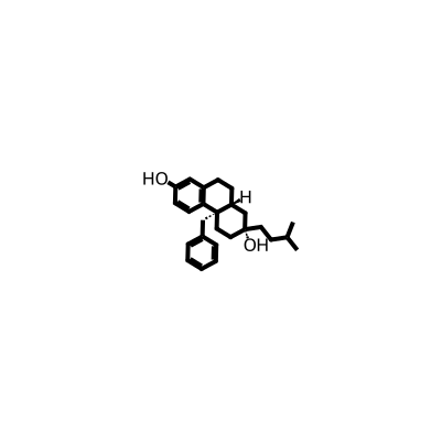 CC(C)CC[C@@]1(O)CC[C@@]2(Cc3ccccc3)c3ccc(O)cc3CC[C@@H]2C1